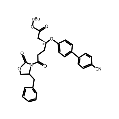 CCCCOC(=O)C[C@H](CCC(=O)N1C(=O)OCC1Cc1ccccc1)Oc1ccc(-c2ccc(C#N)cc2)cc1